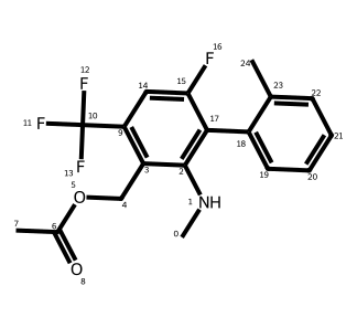 CNc1c(COC(C)=O)c(C(F)(F)F)cc(F)c1-c1ccccc1C